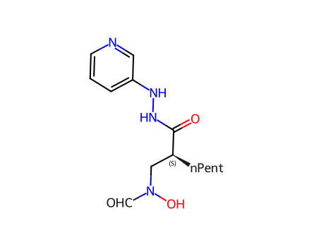 CCCCC[C@@H](CN(O)C=O)C(=O)NNc1cccnc1